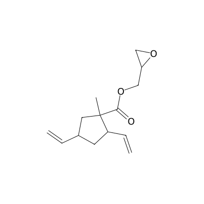 C=CC1CC(C=C)C(C)(C(=O)OCC2CO2)C1